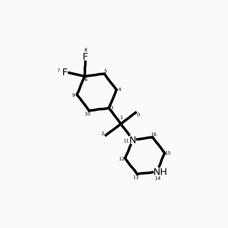 CC(C)(C1CCC(F)(F)CC1)N1CCNCC1